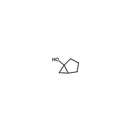 OC12CCCC1C2